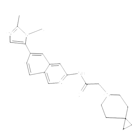 Cc1ncc(-c2ccc3cnc(NC(=O)CN4CCC5(CC4)CC5)cc3c2)n1C